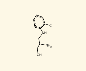 NC(CO)CNc1ccccc1Cl